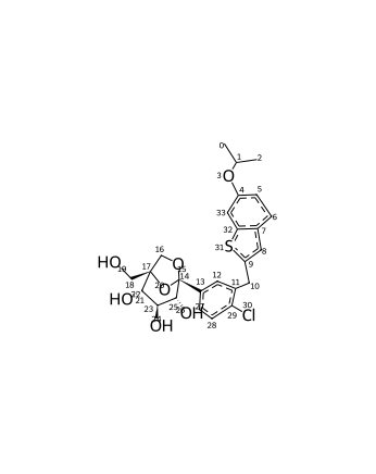 CC(C)Oc1ccc2cc(Cc3cc([C@]45OC[C@](CO)(O4)[C@@H](O)[C@H](O)[C@H]5O)ccc3Cl)sc2c1